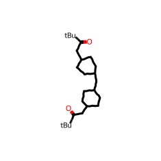 CC(C)(C)C(=O)CC1CCC(CC2CCC(CC(=O)C(C)(C)C)CC2)CC1